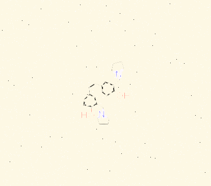 Oc1ccc(/C=C\c2ccc(O)c(CN3CCCC3)c2)cc1CN1CCCC1